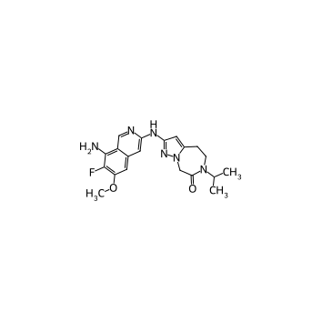 COc1cc2cc(Nc3cc4n(n3)CC(=O)N(C(C)C)CC4)ncc2c(N)c1F